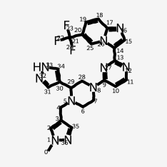 Cn1cc(CN2CCN(c3ccnc(-c4cnc5ccc(C(F)(F)F)cn45)n3)CC2c2cn[nH]c2)cn1